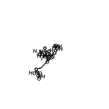 CCCC[C@H](NC(=O)c1ccc2ccc(C(F)(F)P(=O)(O)O)cc2c1)C(=O)N1C[C@H](OCCCCCCC#Cc2cccc3c2CN(C2CCC(=O)NC2=O)C3O)C[C@H]1C(=O)N[C@@H](CCC(N)=O)C(=O)NC(c1ccccc1)c1ccccc1